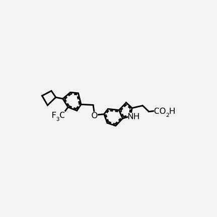 O=C(O)CCc1cc2cc(OCc3ccc(C4CCC4)c(C(F)(F)F)c3)ccc2[nH]1